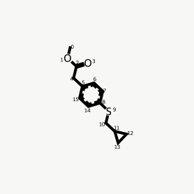 COC(=O)Cc1ccc(SCC2CC2)cc1